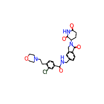 O=C1CCC(N2Cc3cc(CNC(=O)c4ccc(CCN5CCOCC5)c(Cl)c4)ccc3C2=O)C(=O)N1